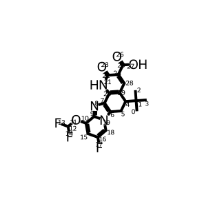 CC(C)(C)C1Cc2c(nc3c(OC(F)F)cc(F)cn23)-c2[nH]c(=O)c(C(=O)O)cc21